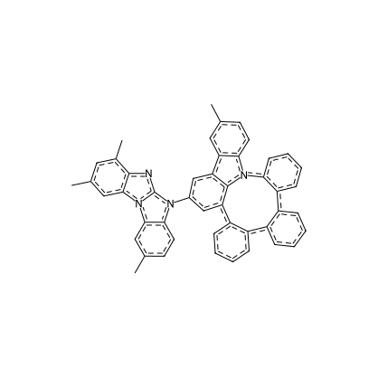 Cc1ccc2c(c1)c1cc(-n3c4ccc(C)cc4n4c5cc(C)cc(C)c5nc34)cc3c4ccccc4c4ccccc4c4ccccc4n2c31